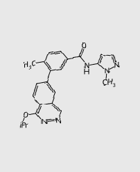 Cc1ccc(C(=O)Nc2ccnn2C)cc1-c1ccc2c(OC(C)C)nncc2c1